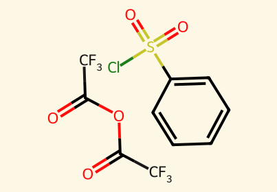 O=C(OC(=O)C(F)(F)F)C(F)(F)F.O=S(=O)(Cl)c1ccccc1